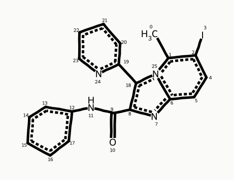 Cc1c(I)ccc2nc(C(=O)Nc3ccccc3)c(-c3ccccn3)n12